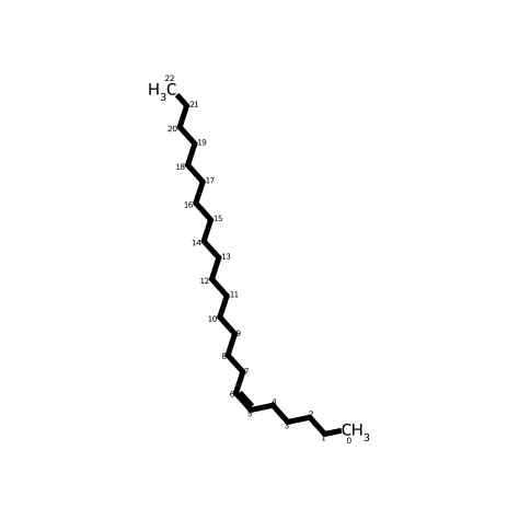 CCCCC/C=C\CCCCCCCCCCCCCCCC